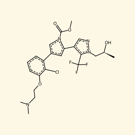 COC(=O)n1cc(-c2cccc(OCCN(C)C)c2Cl)cc1-c1cnn(C[C@H](C)O)c1C(F)(F)F